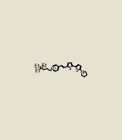 CC[N+](CC)(CC)CCC[n+]1ccc(/C=C/c2ccc(-c3ccc(N4CCCC4)s3)s2)cc1